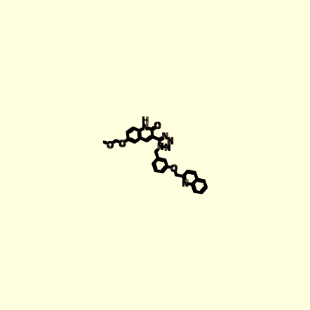 COCOc1ccc2[nH]c(=O)c(-c3nnnn3Cc3cccc(OCc4ccc5ccccc5n4)c3)cc2c1